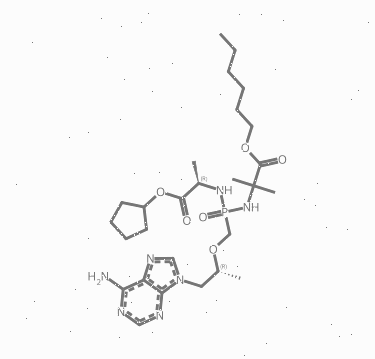 CCCCCCOC(=O)C(C)(C)NP(=O)(CO[C@H](C)Cn1cnc2c(N)ncnc21)N[C@H](C)C(=O)OC1CCCC1